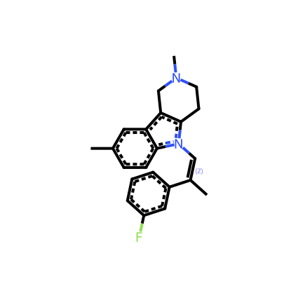 C/C(=C/n1c2c(c3cc(C)ccc31)CN(C)CC2)c1cccc(F)c1